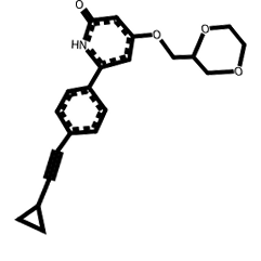 O=c1cc(OCC2COCCO2)cc(-c2ccc(C#CC3CC3)cc2)[nH]1